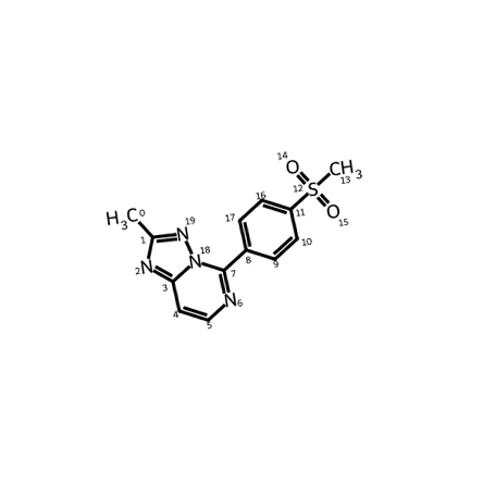 Cc1nc2ccnc(-c3ccc(S(C)(=O)=O)cc3)n2n1